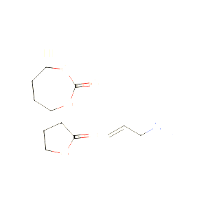 C=CCN.F.O=C1CCCO1.O=C1OCCCCO1